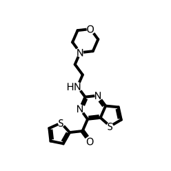 O=C(c1cccs1)c1nc(NCCN2CCOCC2)nc2ccsc12